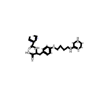 C/C=C\C(=C/C)C(=O)NC(Cc1ccc(OCCCCNC2=NCCNC2)cc1)C(=O)O